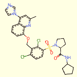 Cc1cc(-n2ccnc2)c2cccc(OCc3c(Cl)ccc(S(=O)(=O)N4CCCC4C(=O)NC4CCCC4)c3Cl)c2n1